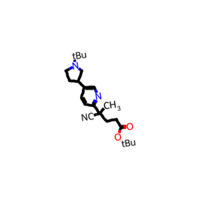 CC(C)(C)OC(=O)CCC(C)(C#N)c1ccc(C2CCN(C(C)(C)C)C2)cn1